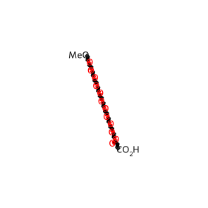 COCCOCCOCCOCCOCCOCCOCCOCCOCCOCCOCCOC(=O)CCC(=O)O